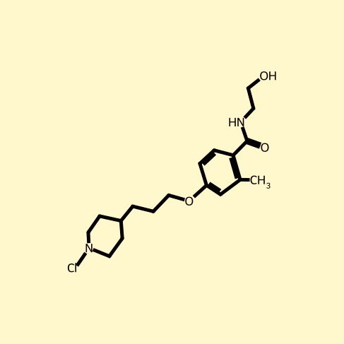 Cc1cc(OCCCC2CCN(Cl)CC2)ccc1C(=O)NCCO